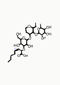 CCCC/C=C\C(OC1C(O)C(CO)OC(OC2CCOC(CC)C2OC2OC(C)C(O)C(O)C2O)C1O)C(=O)O